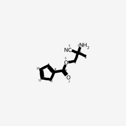 CC(N)(C#N)COC(=O)C1=CC=CC1